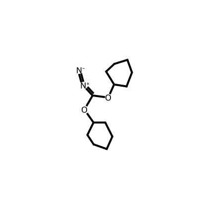 [N-]=[N+]=C(OC1CCCCC1)OC1CCCCC1